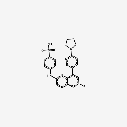 NS(=O)(=O)c1ccc(Nc2ncc3cc(F)cc(-c4ccc(N5CCCC5)nc4)c3n2)cc1